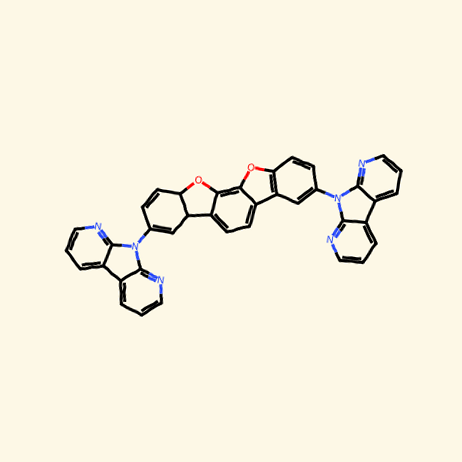 C1=CC2Oc3c(ccc4c3oc3ccc(-n5c6ncccc6c6cccnc65)cc34)C2C=C1n1c2ncccc2c2cccnc21